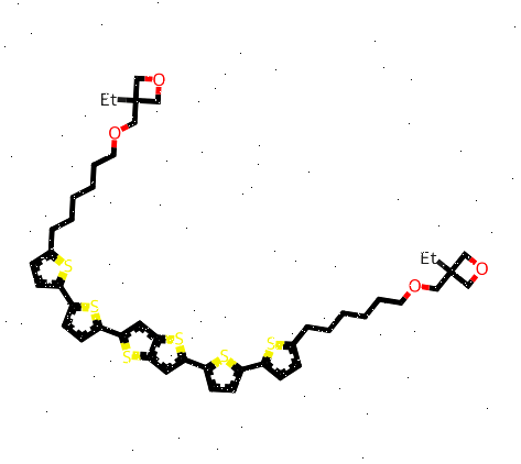 CCC1(COCCCCCCc2ccc(-c3ccc(-c4cc5sc(-c6ccc(-c7ccc(CCCCCCOCC8(CC)COC8)s7)s6)cc5s4)s3)s2)COC1